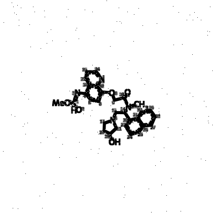 CO[SH](=O)=Nc1ccc(OCC(=O)N(C)C(CN2CC[C@H](O)C2)c2cccc3ccccc23)c2ncccc12